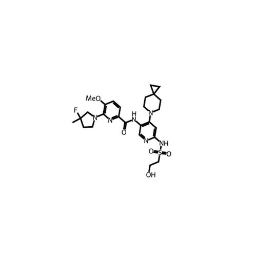 COc1ccc(C(=O)Nc2cnc(NS(=O)(=O)CCO)cc2N2CCC3(CC2)CC3)nc1N1CCC(C)(F)C1